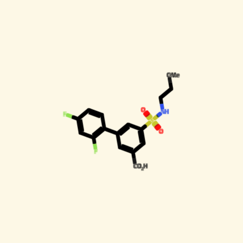 COCCNS(=O)(=O)c1cc(C(=O)O)cc(-c2ccc(F)cc2F)c1